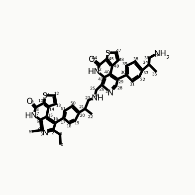 CCc1nc(C)c2[nH]c(=O)c3sccc3c2c1-c1ccc(C(C)CNCc2ncc(-c3ccc(C(C)CN)cc3)c3c2[nH]c(=O)c2sccc23)cc1